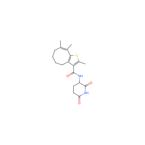 C/C1=C(\C)c2sc(C)c(C(=O)NC3CCC(=O)NC3=O)c2CCCC1